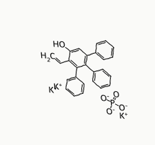 C=Cc1c(O)cc(-c2ccccc2)c(-c2ccccc2)c1-c1ccccc1.O=P([O-])([O-])[O-].[K+].[K+].[K+]